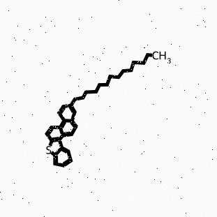 CCCCCCCCCCCCCCc1ccc2c(ccc3c2ccc2sc4ccccc4c23)c1